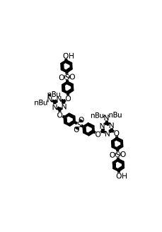 CCCCN(CCCC)c1nc(Oc2ccc(S(=O)(=O)c3ccc(O)cc3)cc2)nc(Oc2ccc(S(=O)(=O)c3ccc(Oc4nc(Oc5ccc(S(=O)(=O)c6ccc(O)cc6)cc5)nc(N(CCCC)CCCC)n4)cc3)cc2)n1